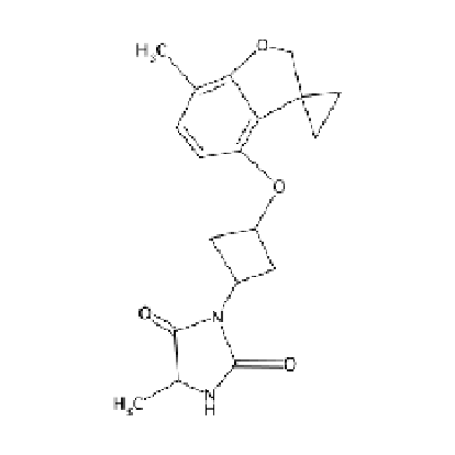 Cc1ccc(OC2CC(N3C(=O)NC(C)C3=O)C2)c2c1OCC21CC1